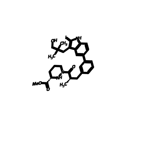 COC(=O)[C@@H]1CCCN(C(=O)[C@@H](C)Cc2cccc(-c3ccc4[nH]c(I)c(CC(C)(C)CO)c4c3)c2)N1